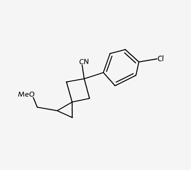 COCC1CC12CC(C#N)(c1ccc(Cl)cc1)C2